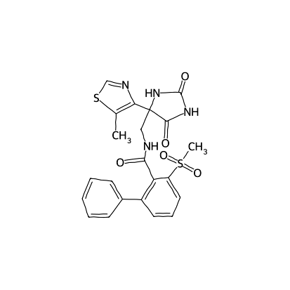 Cc1scnc1C1(CNC(=O)c2c(-c3ccccc3)cccc2S(C)(=O)=O)NC(=O)NC1=O